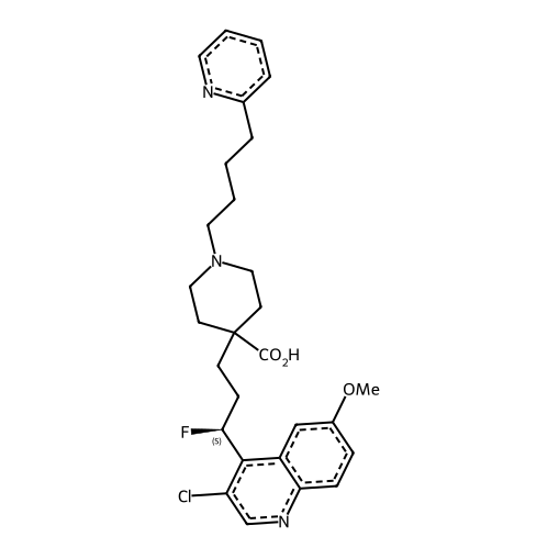 COc1ccc2ncc(Cl)c([C@@H](F)CCC3(C(=O)O)CCN(CCCCc4ccccn4)CC3)c2c1